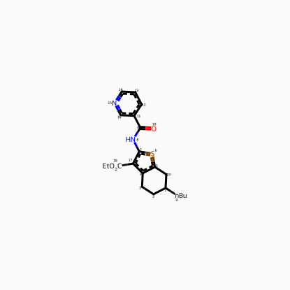 CCCCC1CCc2c(sc(NC(=O)c3cccnc3)c2C(=O)OCC)C1